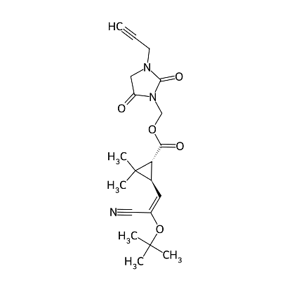 C#CCN1CC(=O)N(COC(=O)[C@@H]2[C@@H](/C=C(\C#N)OC(C)(C)C)C2(C)C)C1=O